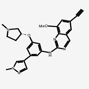 C#Cc1cc(OC)c2nc(Nc3cc(O[C@@H]4CCN(C)C4)cc(-c4cnn(C)c4)c3)ncc2c1